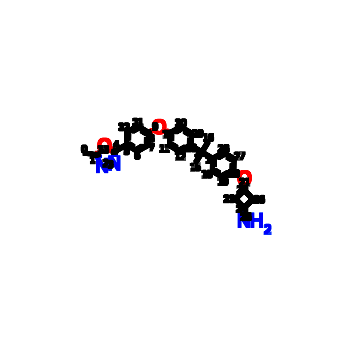 Cc1nnc(-c2ccc(Oc3ccc(C(C)(C)c4ccc(OC5CC(N)C5)cc4)cc3)cc2)o1